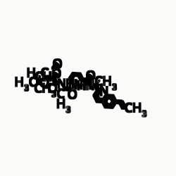 C/C=C/c1ccc2ccc([C@@H](C)NC(=O)C3CCCN(C(=O)C(C)NC(=O)C(OC=O)C(C)OC(C)(C)C)N3)nc2c1